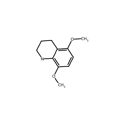 COc1ccc(OC)c2c1CCC[N]2